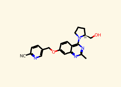 Cc1nc(N2CCC[C@H]2CO)c2ccc(OCc3ccc(C#N)nc3)cc2n1